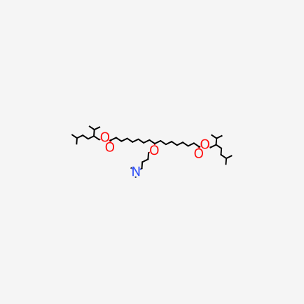 CC(C)CCC(COC(=O)CCCCCCCC(CCCCCCCC(=O)OCC(CCC(C)C)C(C)C)OCCCCN(C)C)C(C)C